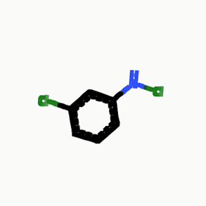 ClNc1cccc(Cl)c1